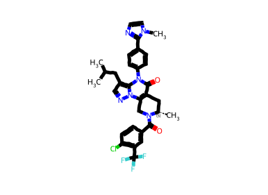 CC(C)Cc1cnn2c3c(c(=O)n(-c4ccc(-c5nccn5C)cc4)c12)C[C@H](C)N(C(=O)c1ccc(Cl)c(C(F)(F)F)c1)C3